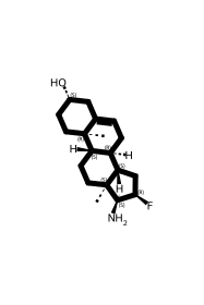 C[C@]12CC[C@H]3[C@@H](CC=C4C[C@@H](O)CC[C@@]43C)[C@@H]1C[C@@H](F)[C@H]2N